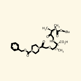 C[C@H](COCC(=O)N1CCN(C(=O)OCc2ccccc2)CC1)[C@H](NCC(=O)[C@@H](C)N(C)C(=O)OC(C)(C)C)C(=O)O